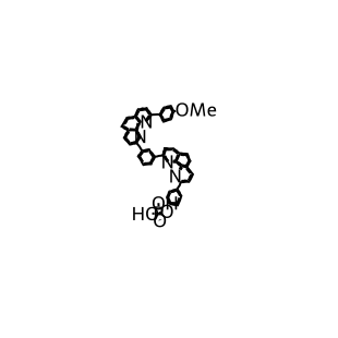 COc1ccc(-c2ccc3ccc4ccc(-c5cccc(-c6ccc7ccc8ccc(-c9ccc(OP(=O)(O)O)cc9)nc8c7n6)c5)nc4c3n2)cc1